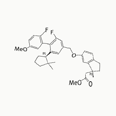 COC(=O)C[C@@]1(C)CCc2ccc(OCc3cc(F)c(-c4cc(OC)ccc4F)c([C@@H]4CCCC4(C)C)c3)cc21